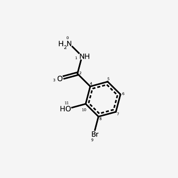 NNC(=O)c1cccc(Br)c1O